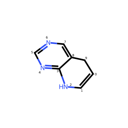 C1=CNc2ncncc2C1